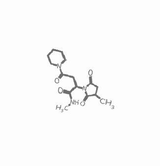 CNC(=O)C(CC(=O)N1CCCCC1)N1C(=O)CC(C)C1=O